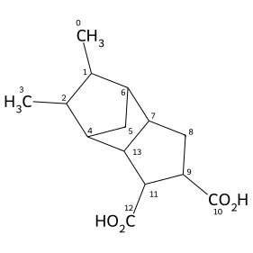 CC1C(C)C2CC1C1CC(C(=O)O)C(C(=O)O)C21